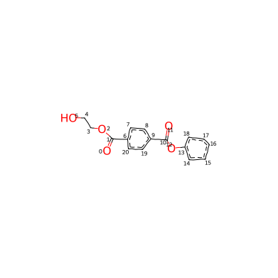 O=C(OCCO)c1ccc(C(=O)Oc2ccccc2)cc1